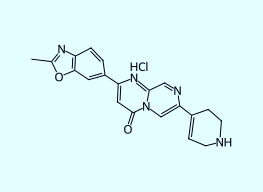 Cc1nc2ccc(-c3cc(=O)n4cc(C5=CCNCC5)ncc4n3)cc2o1.Cl